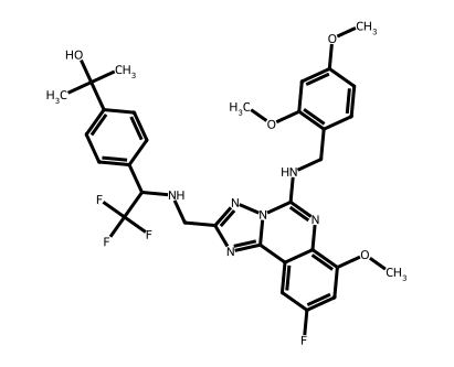 COc1ccc(CNc2nc3c(OC)cc(F)cc3c3nc(CNC(c4ccc(C(C)(C)O)cc4)C(F)(F)F)nn23)c(OC)c1